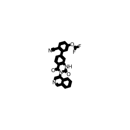 N#Cc1ccc(OC(F)F)cc1-c1ccc2c(=O)n(-c3cncc4ccccc34)c(=O)[nH]c2c1